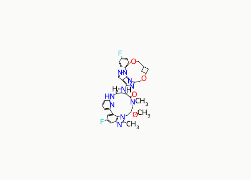 CO[C@H]1CN(C)C(=O)[C@@H]2C[C@@H](CN2c2nc3nc4c2cnn4-c2ccc(F)cc2OCC2CC(C2)OC3)Nc2cccc(n2)-c2cc(F)cc3nc(C)n(c23)C1